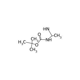 CC([NH])NC(=O)OC(C)(C)C